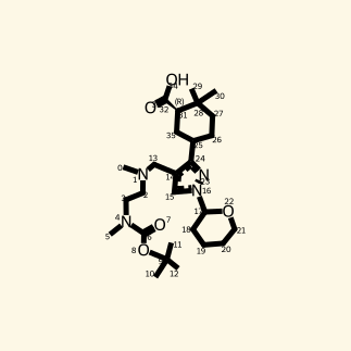 CN(CCN(C)C(=O)OC(C)(C)C)Cc1cn(C2CCCCO2)nc1C1CCC(C)(C)[C@H](C(=O)O)C1